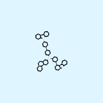 c1cc(-c2cccc3oc4ccccc4c23)cc(N(c2ccc(-c3ccc(-n4c5ccccc5c5ccccc54)cc3)cc2)c2ccc3c(ccc4ccccc43)c2)c1